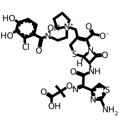 CC(C)(O/N=C(\C(=O)N[C@@H]1C(=O)N2C(C(=O)[O-])=C(C[N+]3(CCN(O)C(=O)c4ccc(O)c(O)c4Cl)CCCC3)CS[C@H]12)c1csc(N)n1)C(=O)O